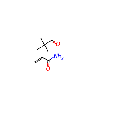 C=CC(N)=O.CC(C)(C)C=O